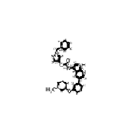 CN1CCCC(Oc2cccc(-c3cnc4[nH]cc(NC(=O)Oc5cnn(Cc6ccccc6)c5)c4c3)c2)C1